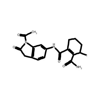 CC(=O)N1C(=O)Cc2ccc(NC(=O)C3=C(C(N)=O)C(I)CCC3)cc21